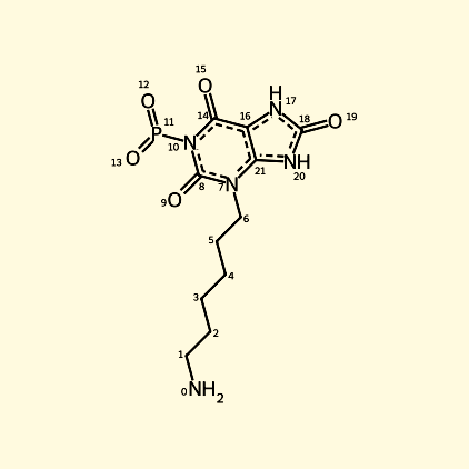 NCCCCCCn1c(=O)n(P(=O)=O)c(=O)c2[nH]c(=O)[nH]c21